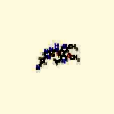 COc1cnc(C2CC2)c(F)c1-c1cc(C)ncc1C(=O)Nc1nc2ncc(C3CC(C#N)C3)nc2s1